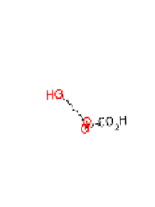 O=C(O)CCCC(=O)OCCCCCCCCCCO